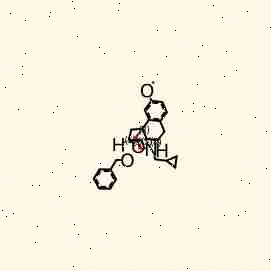 COc1ccc2c(c1)[C@]13CCN(CC4CC4)[C@H](C2)[C@]12C[C@H](OCc1ccccc1)[C@H](C3)O2